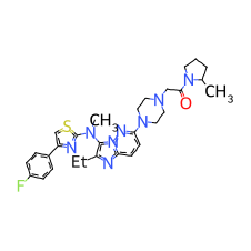 CCc1nc2ccc(N3CCN(CC(=O)N4CCCC4C)CC3)nn2c1N(C)c1nc(-c2ccc(F)cc2)cs1